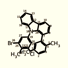 Cc1ccc(C)c(-c2cccc3c4ccccc4n(-c4cc(Cl)c(C)c(Br)c4)c23)c1